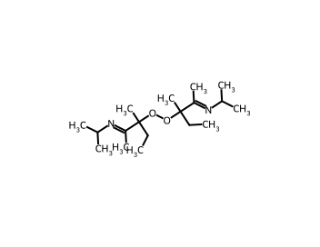 CCC(C)(OOC(C)(CC)C(C)=NC(C)C)C(C)=NC(C)C